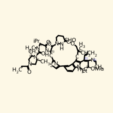 C=CC(=O)N1C[C@H](C)N(C(=O)N(C)[C@H](C(=O)N[C@H]2Cc3nc(cs3)-c3ccc4c(c3)c(c(/C(C=C)=C(/N=C\C)[C@H](C)OC)n4CC)CC(C)(C)COC[C@@]3(C=O)CCCN(N3)C2=O)C(C)C)[C@@H](C)C1